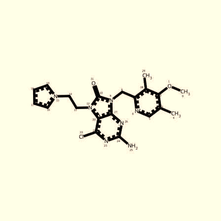 COc1c(C)cnc(Cn2c(=O)n(CCn3cccc3)c3c(Cl)nc(N)nc32)c1C